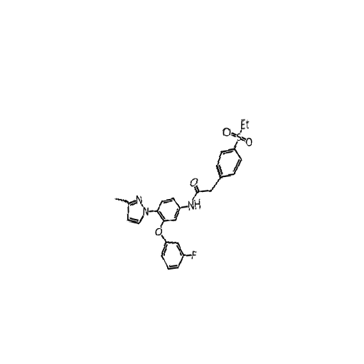 CCS(=O)(=O)c1ccc(CC(=O)Nc2ccc(-n3ccc(C)n3)c(Oc3cccc(F)c3)c2)cc1